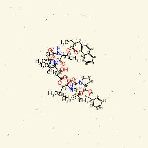 CC[C@@H](Cc1ccc2ccccc2c1)C(=O)O[C@H](C)[C@H](NC(=O)OC(C)(C)C)C(=O)N[C@H](C(C)C)[C@@H](O)CC(=O)O[C@H](C(=O)N[C@@H](CC(C)C)C(=O)N1CCC[C@H]1C(=O)OCc1ccccc1)C(C)C